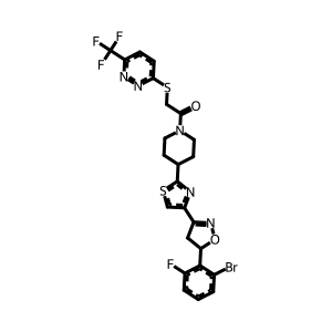 O=C(CSc1ccc(C(F)(F)F)nn1)N1CCC(c2nc(C3=NOC(c4c(F)cccc4Br)C3)cs2)CC1